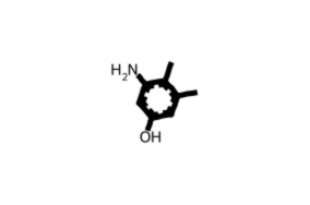 Cc1cc(O)cc(N)c1C